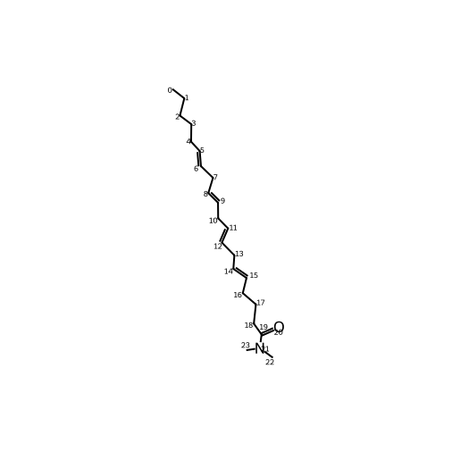 CCCCCC=CCC=CCC=CCC=CCCCC(=O)N(C)C